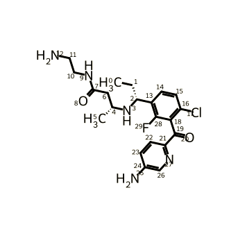 CC[C@@H](N[C@H](C)CC(=O)NCCN)c1ccc(Cl)c(C(=O)c2ccc(N)cn2)c1F